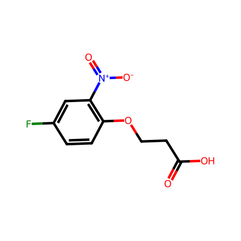 O=C(O)CCOc1ccc(F)cc1[N+](=O)[O-]